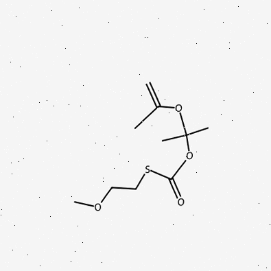 C=C(C)OC(C)(C)OC(=O)SCCOC